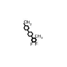 C=CC1CCC(C2CCC(c3cc(F)c(F)cc3C)CC2)CC1